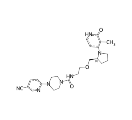 Cc1c(N2CCC[C@H]2COCCNC(=O)N2CCN(c3ccc(C#N)cn3)CC2)cc[nH]c1=O